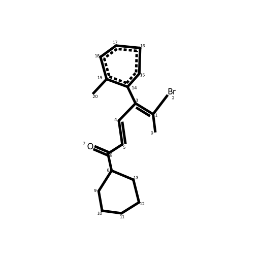 CC(Br)=C(C=CC(=O)C1CCCCC1)c1ccccc1C